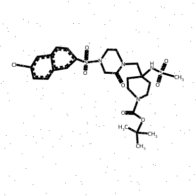 CC(C)(C)OC(=O)N1CCC(CN2CCN(S(=O)(=O)c3ccc4cc(Cl)ccc4c3)CC2=O)(NS(C)(=O)=O)CC1